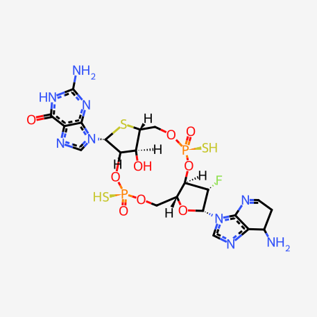 Nc1nc2c(ncn2[C@@H]2S[C@@H]3CO[P@@](=O)(S)O[C@H]4[C@H](F)[C@H](n5cnc6c5N=CCC6N)O[C@@H]4CO[P@@](=O)(S)O[C@@H]2[C@@H]3O)c(=O)[nH]1